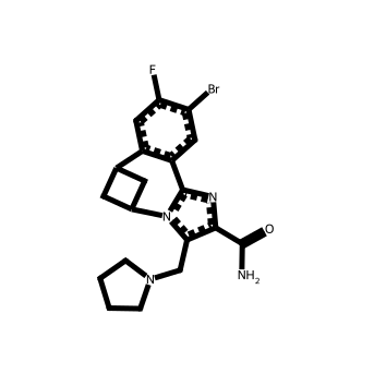 NC(=O)c1nc2n(c1CN1CCCC1)C1CC(C1)c1cc(F)c(Br)cc1-2